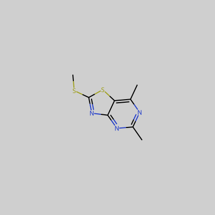 CSc1nc2nc(C)nc(C)c2s1